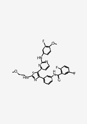 COCCNc1nc(-c2cccc(NC(=O)c3cc(F)ccc3F)c2)c(-c2ccnc(Nc3ccc(OC)c(F)c3)n2)s1